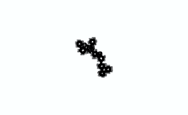 C1=C(c2ccc3oc4cc(-c5nc(-c6ccccc6)nc(-c6cccc7c6oc6ccccc67)n5)ccc4c3c2)CC2C(=C1)c1ccccc1-c1ccccc12